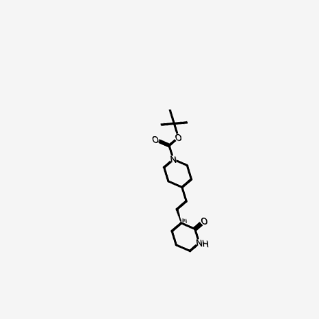 CC(C)(C)OC(=O)N1CCC(CC[C@@H]2CCCNC2=O)CC1